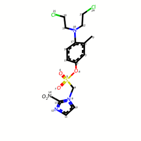 Cc1cc(OS(=O)(=O)Cn2ccnc2[N+](=O)[O-])ccc1N(CCCl)CCCl